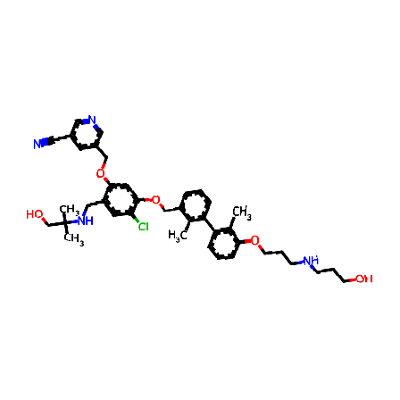 Cc1c(COc2cc(OCc3cncc(C#N)c3)c(CNC(C)(C)CO)cc2Cl)cccc1-c1cccc(OCCCNCCCO)c1C